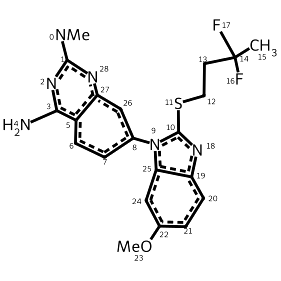 CNc1nc(N)c2ccc(-n3c(SCCC(C)(F)F)nc4ccc(OC)cc43)cc2n1